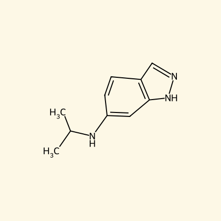 CC(C)Nc1ccc2cn[nH]c2c1